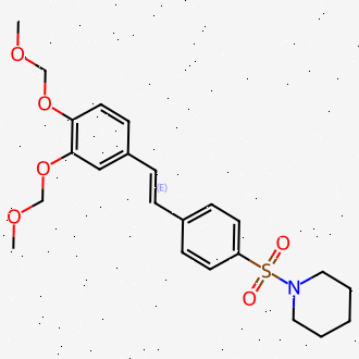 COCOc1ccc(/C=C/c2ccc(S(=O)(=O)N3CCCCC3)cc2)cc1OCOC